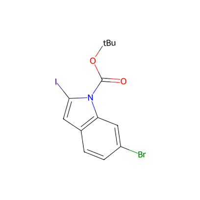 CC(C)(C)OC(=O)n1c(I)cc2ccc(Br)cc21